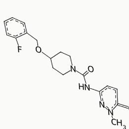 Cn1nc(NC(=O)N2CCC(OCc3ccccc3F)CC2)ccc1=O